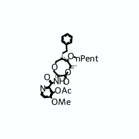 CCCCCO[C@@H]1[C@@H](CCc2ccccc2)COC[C@H](NC(=O)c2nccc(OC)c2OC(C)=O)C(=O)O[C@H]1C